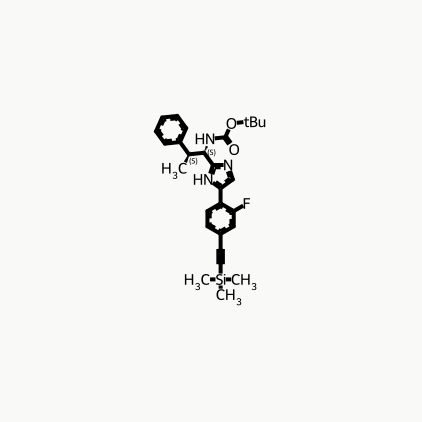 C[C@@H](c1ccccc1)[C@H](NC(=O)OC(C)(C)C)c1ncc(-c2ccc(C#C[Si](C)(C)C)cc2F)[nH]1